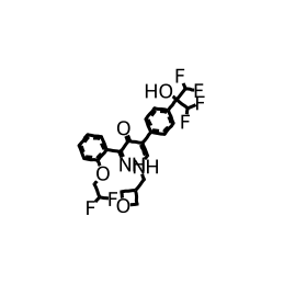 N=C(C(=O)/C(=C\NCC1COC1)c1ccc(C(O)(C(F)F)C(F)F)cc1)c1ccccc1OCC(F)F